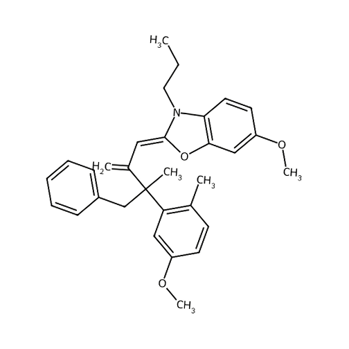 C=C(/C=C1\Oc2cc(OC)ccc2N1CCC)C(C)(Cc1ccccc1)c1cc(OC)ccc1C